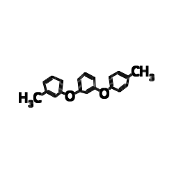 Cc1ccc(Oc2cccc(Oc3cccc(C)c3)c2)cc1